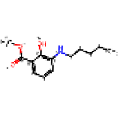 CCCCCNc1cccc(C(=O)OC)c1O